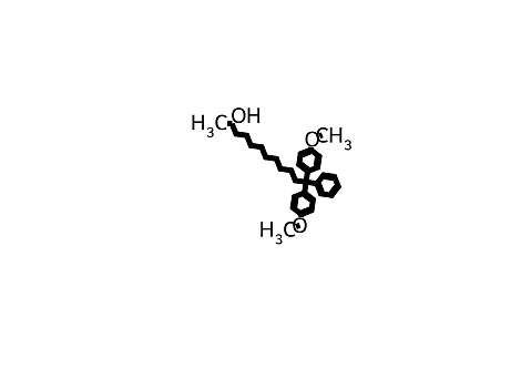 COc1ccc(C(CCCCCCCCCC(C)O)(c2ccccc2)c2ccc(OC)cc2)cc1